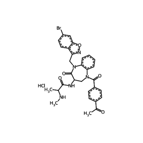 CNC(C)C(=O)NC1CN(C(=O)c2ccc(C(C)=O)cc2)c2ccccc2N(Cc2noc3cc(Br)ccc23)C1=O.Cl